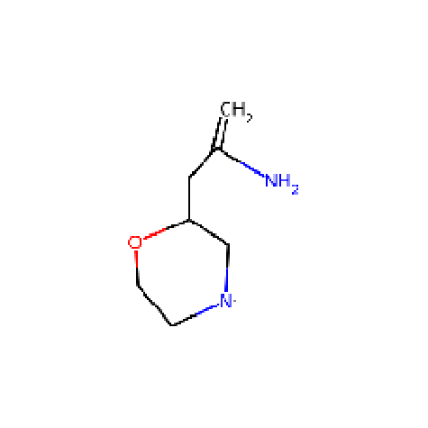 C=C(N)CC1C[N]CCO1